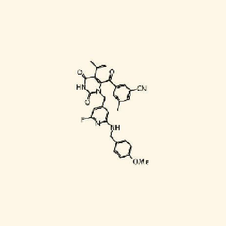 C=C(C)c1c(C(=O)c2cc(C)cc(C#N)c2)n(Cc2cc(F)nc(NCc3ccc(OC)cc3)c2)c(=O)[nH]c1=O